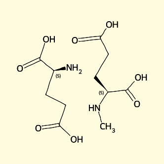 CN[C@@H](CCC(=O)O)C(=O)O.N[C@@H](CCC(=O)O)C(=O)O